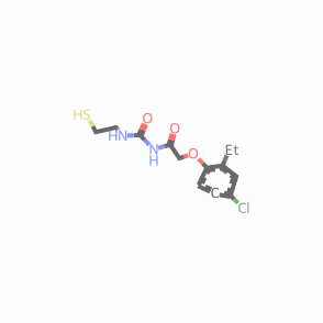 CCc1cc(Cl)ccc1OCC(=O)NC(=O)NCCS